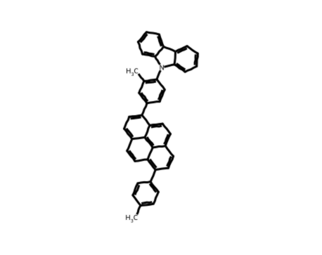 Cc1ccc(-c2ccc3ccc4c(-c5ccc(-n6c7ccccc7c7ccccc76)c(C)c5)ccc5ccc2c3c54)cc1